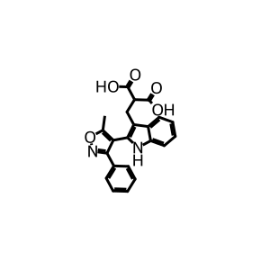 Cc1onc(-c2ccccc2)c1-c1[nH]c2ccccc2c1CC(C(=O)O)C(=O)O